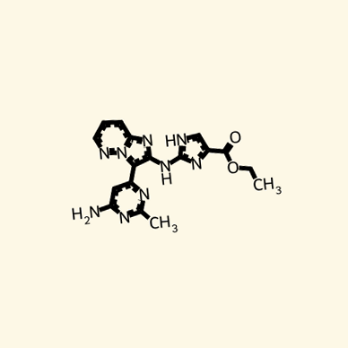 CCOC(=O)c1c[nH]c(Nc2nc3cccnn3c2-c2cc(N)nc(C)n2)n1